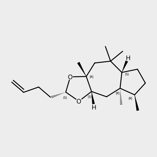 C=CCC[C@H]1O[C@H]2C[C@]3(C)[C@H](C)CC[C@H]3C(C)(C)C[C@@]2(C)O1